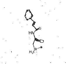 CNCC(=O)NC(=O)/C=C/c1ccccc1